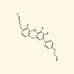 C=CCCc1ccc(-c2cc3c(c(F)c2F)Oc2c(ccc(CC/C=C/C)c2F)C3)cc1